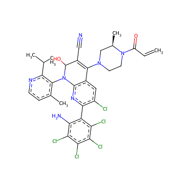 C=CC(=O)N1CCN(C2=C(C#N)C(O)N(c3c(C)ccnc3C(C)C)c3nc(-c4c(N)c(Cl)c(Cl)c(Cl)c4Cl)c(Cl)cc32)C[C@H]1C